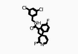 Cc1cc(F)ccc1C1(CCC(=O)NCc2cc(Cl)cc(Cl)c2)C=CC=NC(F)=C1